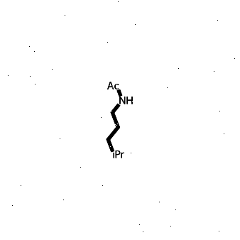 CC(=O)NCCCC(C)C